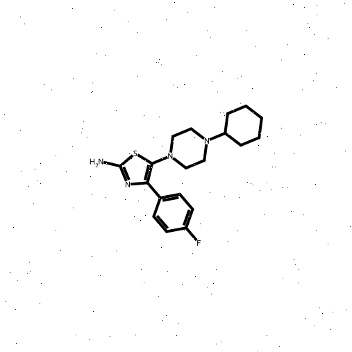 Nc1nc(-c2ccc(F)cc2)c(N2CCN(C3CCCCC3)CC2)s1